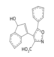 O=C(O)c1noc(-c2ccccc2)c1C1=CC(O)c2ccccc21